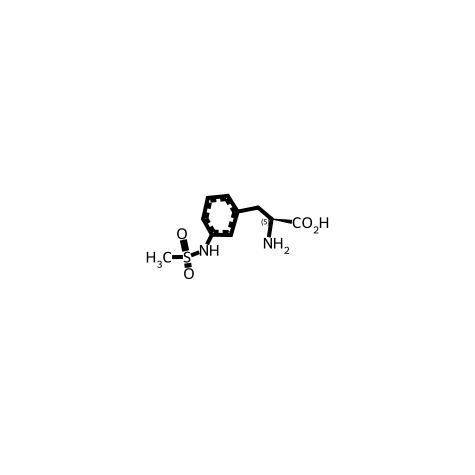 CS(=O)(=O)Nc1cccc(C[C@H](N)C(=O)O)c1